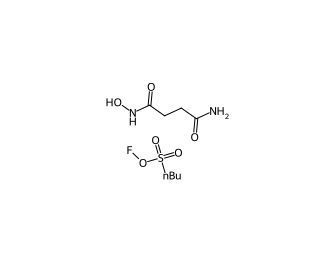 CCCCS(=O)(=O)OF.NC(=O)CCC(=O)NO